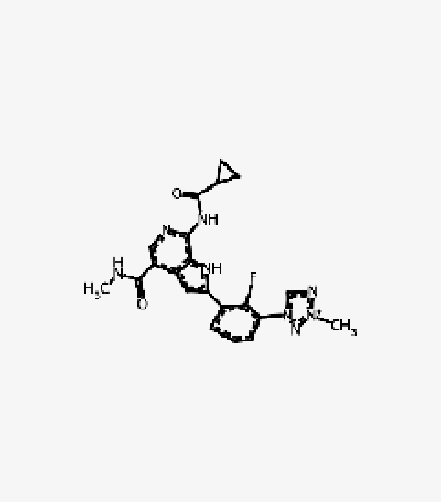 CNC(=O)c1cnc(NC(=O)C2CC2)c2[nH]c(-c3cccc(-n4cn[n+](C)n4)c3F)cc12